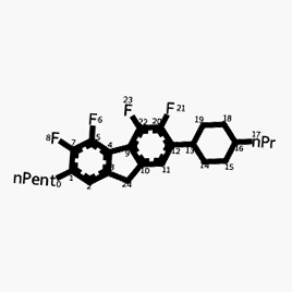 CCCCCc1cc2c(c(F)c1F)-c1c(cc(C3CCC(CCC)CC3)c(F)c1F)C2